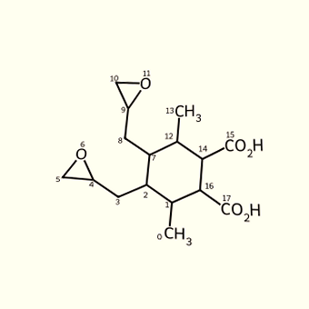 CC1C(CC2CO2)C(CC2CO2)C(C)C(C(=O)O)C1C(=O)O